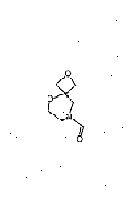 O=[C]N1CCOC2(COC2)C1